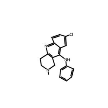 CN1CCc2nc3ccc(Cl)cc3c(Nc3ccccc3)c2C1